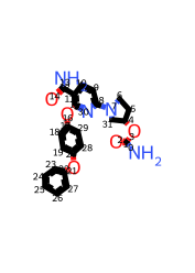 NC(=O)OC1CCN(c2ccc(C(N)=O)c(Oc3ccc(Oc4ccccc4)cc3)n2)C1